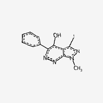 Cn1nc(I)c2c(O)c(-c3ccccc3)nnc21